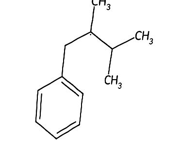 C[C](Cc1ccccc1)C(C)C